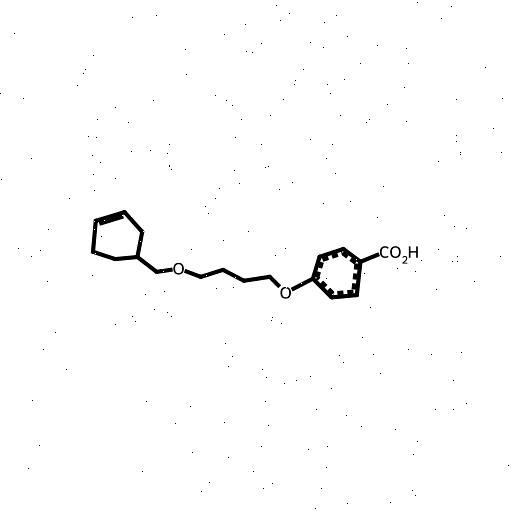 O=C(O)c1ccc(OCCCCOCC2CC=CCC2)cc1